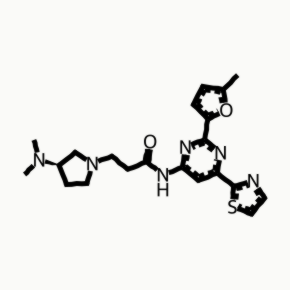 Cc1ccc(-c2nc(NC(=O)CCN3CC[C@@H](N(C)C)C3)cc(-c3nccs3)n2)o1